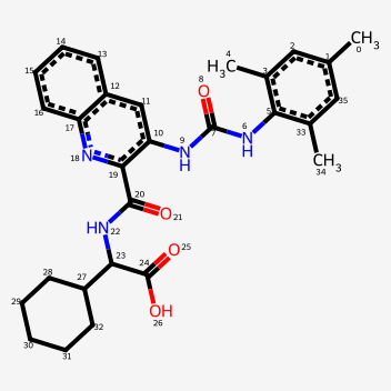 Cc1cc(C)c(NC(=O)Nc2cc3ccccc3nc2C(=O)NC(C(=O)O)C2CCCCC2)c(C)c1